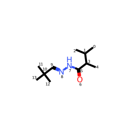 CC(C)C(C)C(=O)N/N=C/C(C)(C)C